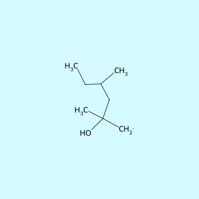 [CH2]C(C)(O)CC(C)CC